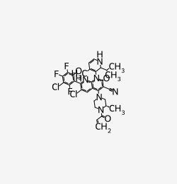 C=CC(=O)N1CCN(c2c(C#N)c(=O)n(C3=C(C)C=CNC3C(C)C)c3nc(-c4c(O)c(F)c(F)c(Cl)c4F)c(Cl)cc23)C[C@H]1C